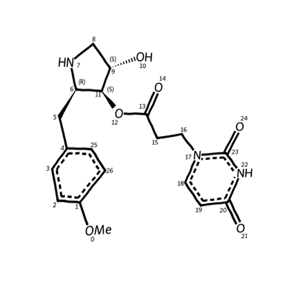 COc1ccc(C[C@H]2NC[C@H](O)[C@H]2OC(=O)CCn2ccc(=O)[nH]c2=O)cc1